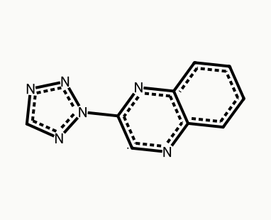 [c]1nc2ccccc2nc1-n1ncnn1